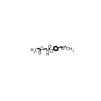 C=CC(=O)OCCNC(=O)Oc1ccc(COCC)cc1